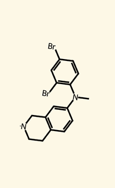 CN(c1ccc2c(c1)C[N]CC2)c1ccc(Br)cc1Br